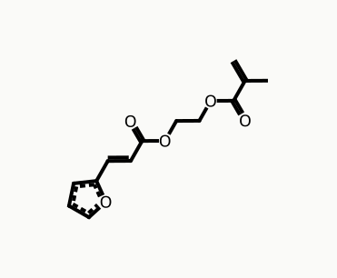 C=C(C)C(=O)OCCOC(=O)C=Cc1ccco1